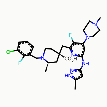 Cc1cc(Nc2cc(N3CCN(C)CC3)c(F)c(C[C@@]3(C(=O)O)CCN(Cc4cccc(Cl)c4F)[C@H](C)C3)n2)n[nH]1